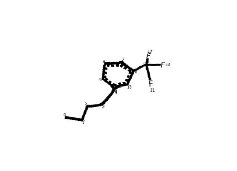 C[CH]CCc1cccc(C(F)(F)F)c1